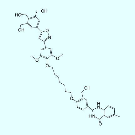 COc1cc(-c2cc(-c3cc(CO)c(CO)c(CO)c3)on2)cc(OC)c1OCCCCCCCOc1ccc(C2NC(=O)c3cc(C)ccc3N2)cc1CO